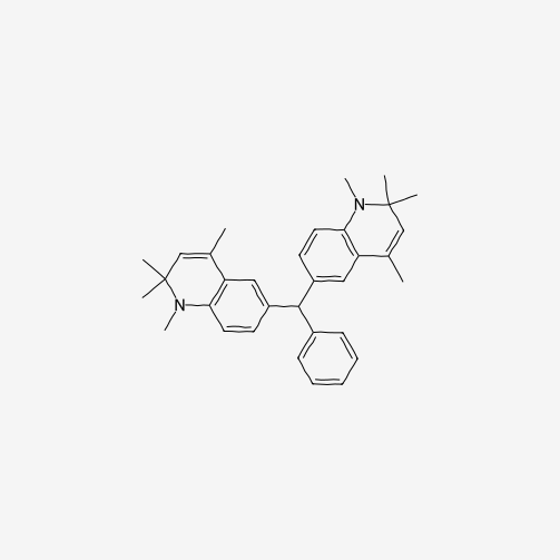 CC1=CC(C)(C)N(C)c2ccc(C(c3ccccc3)c3ccc4c(c3)C(C)=CC(C)(C)N4C)cc21